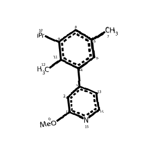 COc1cc(-c2cc(C)cc(C(C)C)c2C)ccn1